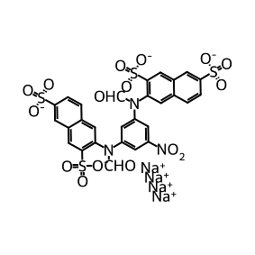 O=CN(c1cc(N(C=O)c2cc3ccc(S(=O)(=O)[O-])cc3cc2S(=O)(=O)[O-])cc([N+](=O)[O-])c1)c1cc2ccc(S(=O)(=O)[O-])cc2cc1S(=O)(=O)[O-].[Na+].[Na+].[Na+].[Na+]